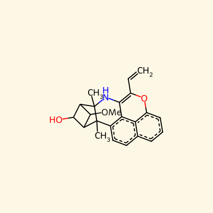 C=CC1=C2NC3(C)C4C(O)C(C4OC)C3(C)c3ccc4cccc(c4c32)O1